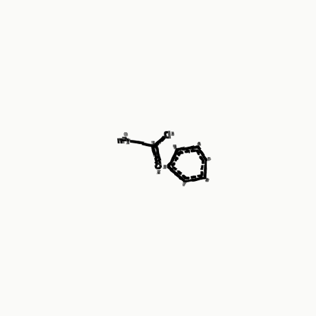 CCCC(=O)Cl.c1ccccc1